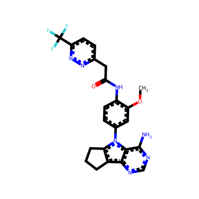 COc1cc(-n2c3c(c4ncnc(N)c42)CCC3)ccc1NC(=O)Cc1ccc(C(F)(F)F)nn1